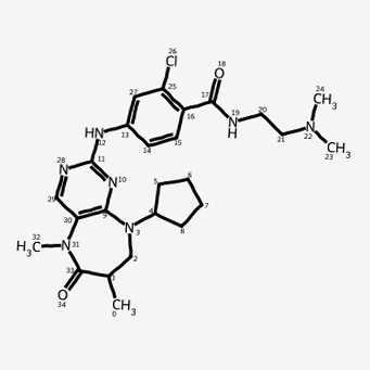 CC1CN(C2CCCC2)c2nc(Nc3ccc(C(=O)NCCN(C)C)c(Cl)c3)ncc2N(C)C1=O